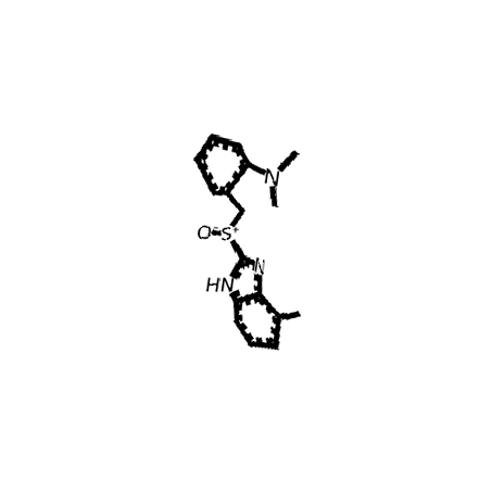 Cc1cccc2[nH]c([S+]([O-])Cc3ccccc3N(C)C)nc12